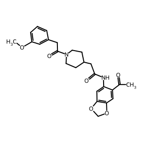 COc1cccc(CC(=O)N2CCC(CC(=O)Nc3cc4c(cc3C(C)=O)OCO4)CC2)c1